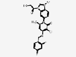 CC(=O)N1CN(C(=O)CO)c2cc(-n3c(C)cc(OCc4ccc(F)cc4F)c(Cl)c3=O)ccc21